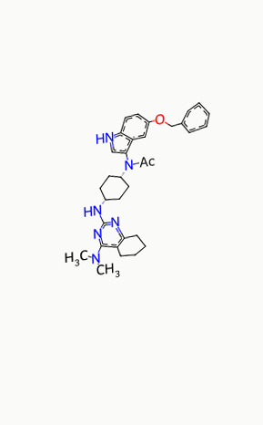 CC(=O)N(c1c[nH]c2ccc(OCc3ccccc3)cc12)[C@H]1CC[C@@H](Nc2nc3c(c(N(C)C)n2)CCCC3)CC1